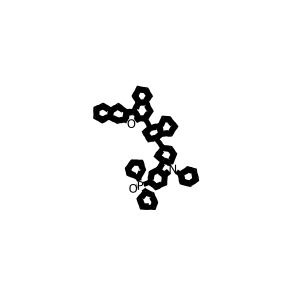 O=P(c1ccccc1)(c1ccccc1)c1ccc2c(c1)c1cc(-c3ccc(-c4cc5ccccc5c5c4oc4cc6ccccc6cc45)c4ccccc34)ccc1n2-c1ccccc1